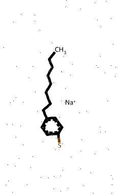 CCCCCCCCc1ccc([S-])cc1.[Na+]